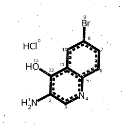 Cl.Nc1cnc2ccc(Br)cc2c1O